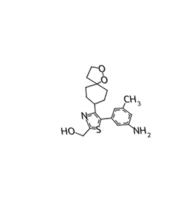 Cc1cc(N)cc(-c2sc(CO)nc2C2CCC3(CCOO3)CC2)c1